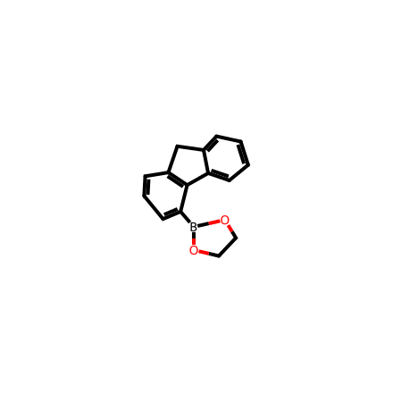 c1ccc2c(c1)Cc1cccc(B3OCCO3)c1-2